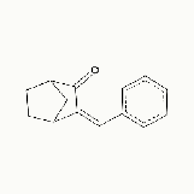 O=C1/C(=C\c2ccccc2)C2CCC1C2